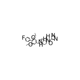 CCOc1cc(CN2CC[C@H]3C(NC(=O)c4cncnc4)CC[C@H]32)cc(OCC)c1-c1ccc(F)cc1